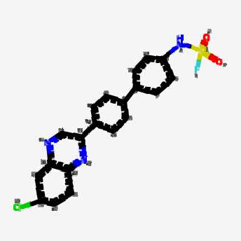 O=S(=O)(F)Nc1ccc(-c2ccc(-c3cnc4cc(Cl)ccc4n3)cc2)cc1